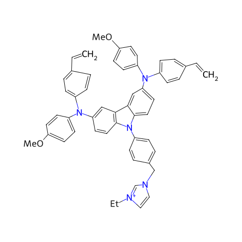 C=Cc1ccc(N(c2ccc(OC)cc2)c2ccc3c(c2)c2cc(N(c4ccc(C=C)cc4)c4ccc(OC)cc4)ccc2n3-c2ccc(Cn3cc[n+](CC)c3)cc2)cc1